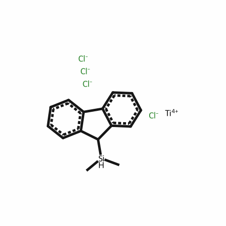 C[SiH](C)C1c2ccccc2-c2ccccc21.[Cl-].[Cl-].[Cl-].[Cl-].[Ti+4]